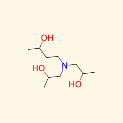 CC(O)CCN(CC(C)O)CC(C)O